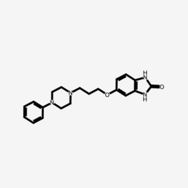 O=c1[nH]c2ccc(OCCCN3CCN(c4ccccc4)CC3)cc2[nH]1